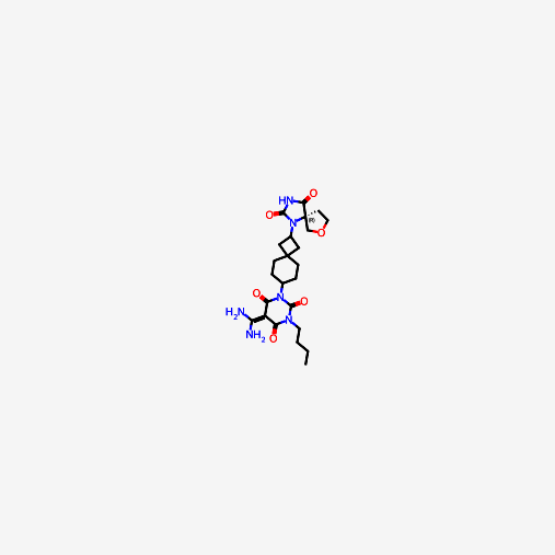 CCCCN1C(=O)C(=C(N)N)C(=O)N(C2CCC3(CC2)CC(N2C(=O)NC(=O)[C@]24CCOC4)C3)C1=O